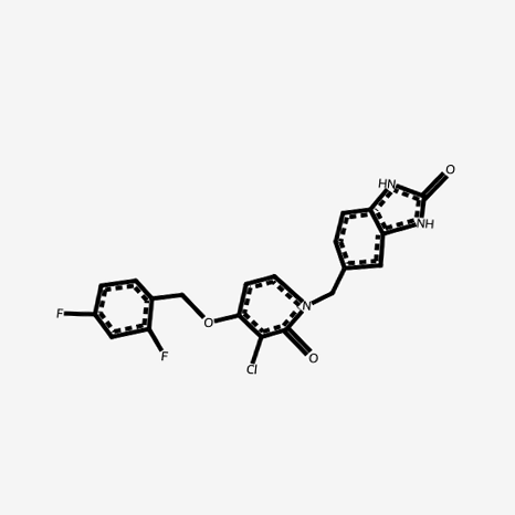 O=c1[nH]c2ccc(Cn3ccc(OCc4ccc(F)cc4F)c(Cl)c3=O)cc2[nH]1